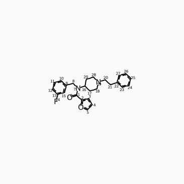 O=C(c1ccco1)N(Cc1cccc(F)c1)C1CCN(CCc2ccccc2)CC1